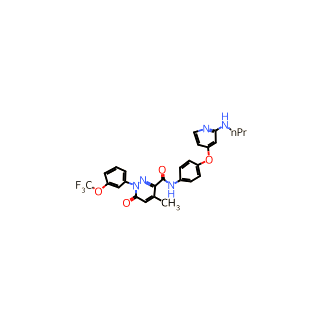 CCCNc1cc(Oc2ccc(NC(=O)c3nn(-c4cccc(OC(F)(F)F)c4)c(=O)cc3C)cc2)ccn1